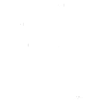 COc1ccc(CSc2cc(O)cc(Cl)c2C)cc1